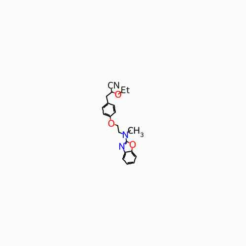 CCOC(C#N)Cc1ccc(OCCN(C)c2nc3ccccc3o2)cc1